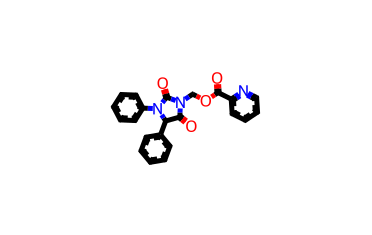 O=C(OCN1C(=O)C(c2ccccc2)N(c2ccccc2)C1=O)c1ccccn1